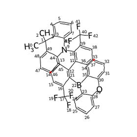 CC1(C)c2ccccc2N(c2c(-c3cccc(C(F)(F)F)c3B3c4ccccc4Oc4ccccc43)cccc2C(F)(F)F)c2ccccc21